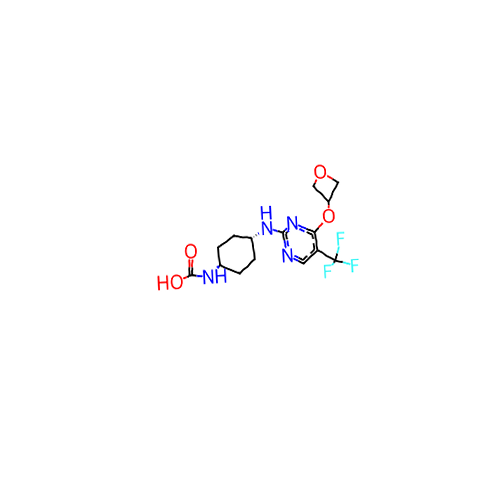 O=C(O)N[C@H]1CC[C@H](Nc2ncc(C(F)(F)F)c(OC3COC3)n2)CC1